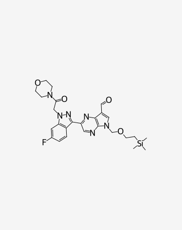 C[Si](C)(C)CCOCn1cc(C=O)c2nc(-c3nn(CC(=O)N4CCOCC4)c4cc(F)ccc34)cnc21